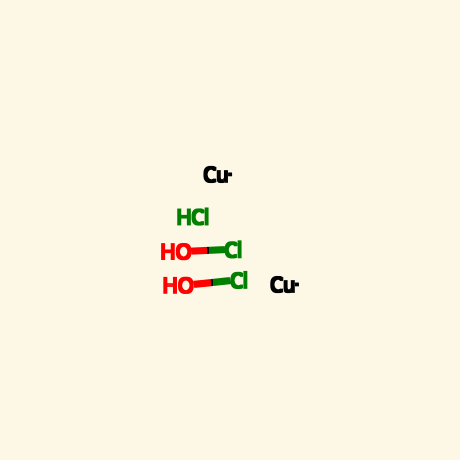 Cl.OCl.OCl.[Cu].[Cu]